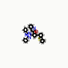 c1ccc(-c2nc(-c3ccccc3)nc(-c3ccc(-c4cccc5c4sc4ccccc45)c4oc5nc6ccccc6cc5c34)n2)cc1